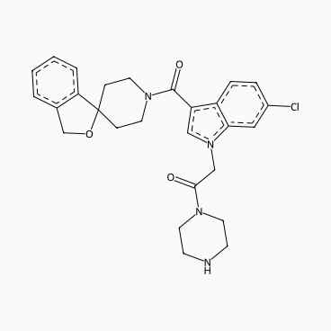 O=C(Cn1cc(C(=O)N2CCC3(CC2)OCc2ccccc23)c2ccc(Cl)cc21)N1CCNCC1